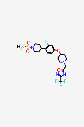 CS(=O)(=O)N1CCC(c2ccc(OC3CCN(Cc4nc(C(F)(F)F)no4)CC3)cc2F)CC1